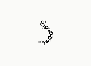 Cc1cc(OC2CN(C(=O)CO)C2)cc(C)c1-c1cccc(COc2ccc3c(c2)OCC3CC(=O)O)c1